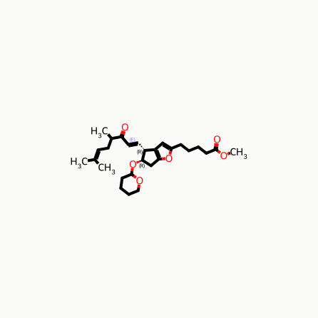 COC(=O)CCCCc1cc2c(o1)C[C@@H](OC1CCCCO1)[C@@H]2/C=C/C(=O)C(C)CC=C(C)C